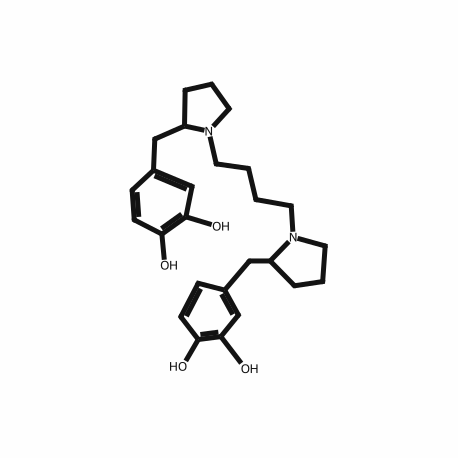 Oc1ccc(CC2CCCN2CCCCN2CCCC2Cc2ccc(O)c(O)c2)cc1O